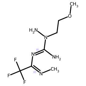 C/N=C(\N=C(/N)N(N)CCOC)C(F)(F)F